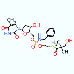 Cc1cn([C@H]2CC(O)[C@@H](COP(=O)(NCc3ccccc3)OCCSC(=O)C(C)(C)CO)O2)c(=O)[nH]c1=O